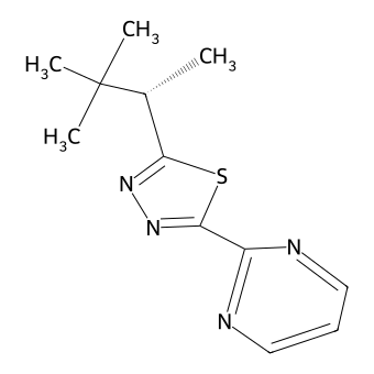 C[C@H](c1nnc(-c2ncccn2)s1)C(C)(C)C